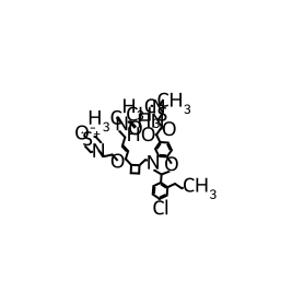 CCCc1cc(Cl)ccc1C1COc2ccc(C(O)C(=O)NSN(C)C)cc2N(CC2CCC2C(/C=C/CCN(C)C(C)=O)OCCN2CC[S+]([O-])CC2)C1